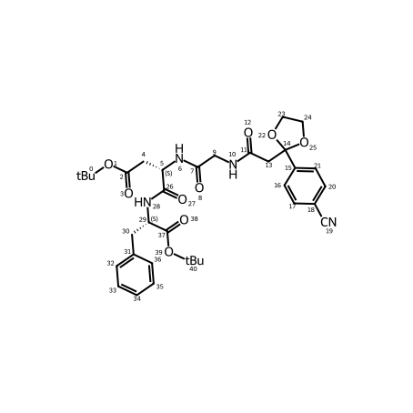 CC(C)(C)OC(=O)C[C@H](NC(=O)CNC(=O)CC1(c2ccc(C#N)cc2)OCCO1)C(=O)N[C@@H](Cc1ccccc1)C(=O)OC(C)(C)C